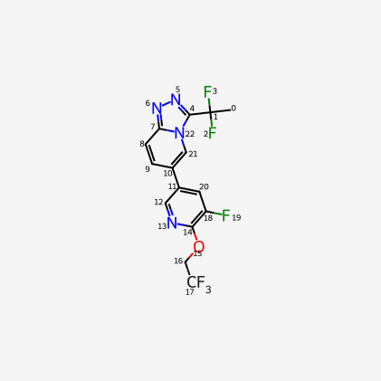 CC(F)(F)c1nnc2ccc(-c3cnc(OCC(F)(F)F)c(F)c3)cn12